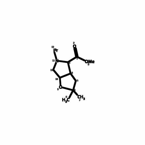 COC(=O)C1C2CC(C)(C)OC2CN1C(C)C